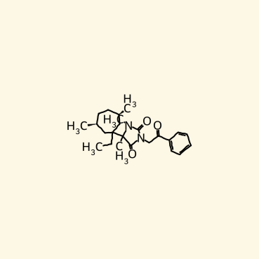 CCC1(C2(C)C(=O)N(CC(=O)c3ccccc3)C(=O)N2C)C[C@H](C)CC[C@H](C)C1